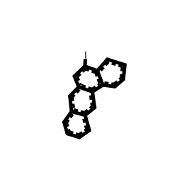 Ic1cc2cc3ccccc3cc2c2ccccc12